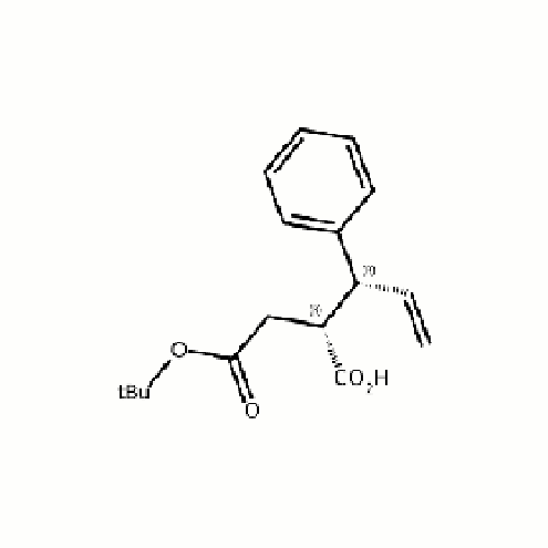 C=C[C@@H](c1ccccc1)[C@@H](CC(=O)OC(C)(C)C)C(=O)O